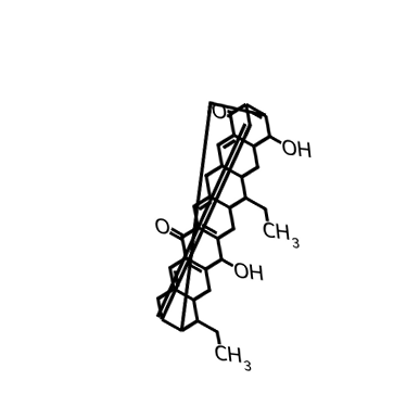 CCC1C2CC3=C4C=C2CC2=CC5=C(CC21)C(O)C1CC2C(C=C1C5=O)CC1=CC(=C(CC1C2CC)C3O)C4=O